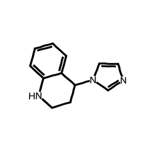 c1ccc2c(c1)NCCC2n1ccnc1